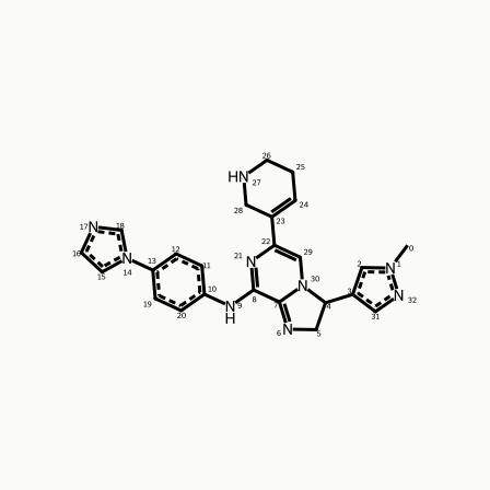 Cn1cc(C2CN=C3C(Nc4ccc(-n5ccnc5)cc4)=NC(C4=CCCNC4)=CN32)cn1